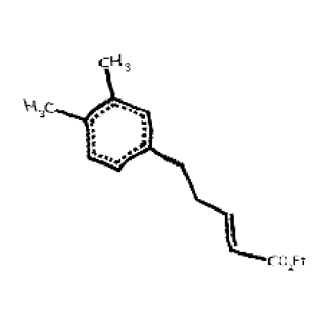 CCOC(=O)C=CCCc1ccc(C)c(C)c1